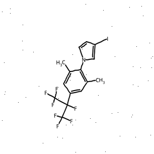 Cc1cc(C(F)(C(F)(F)F)C(F)(F)F)cc(C)c1-n1ccc(I)c1